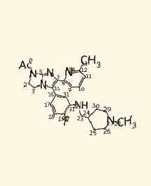 CC(=O)N1CCn2c1nc(-c1cccc(C)n1)c2-c1ccc(F)c(NCC2CCN(C)CC2)c1